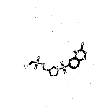 C=CS(=O)(=O)NCC1CCN(S(=O)(=O)c2ccc3ncc(=O)[nH]c3c2)C1